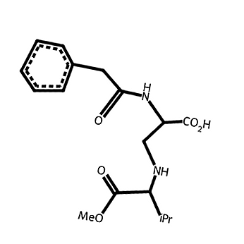 COC(=O)C(NCC(NC(=O)Cc1ccccc1)C(=O)O)C(C)C